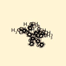 CC(C)(C)c1ccc(N2B3c4cc(C(C)(C)C)ccc4-n4c5cc(N(c6ccc(C(C)(C)C)cc6)c6ccc(C(C)(C)C)cc6)ccc5c5c6oc7ccccc7c6c(c3c54)-c3cc4sc5ccccc5c4cc32)cc1